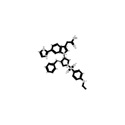 CCOc1ccc(S(=O)(=O)N2C[C@@H](Cc3ccccc3)[C@@H](n3cc(CC(=O)O)c4ccc(-c5ncco5)cc43)C2)cc1